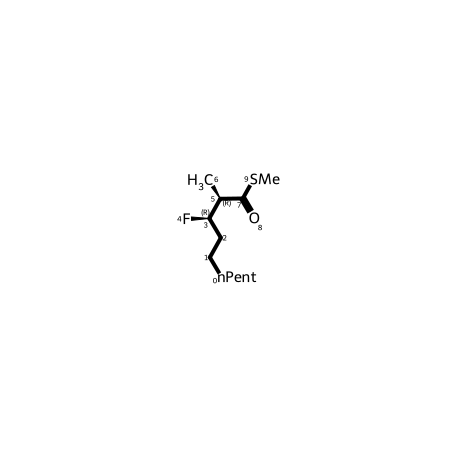 CCCCCCC[C@@H](F)[C@@H](C)C(=O)SC